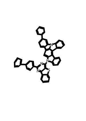 c1ccc(-c2ccc(-c3nc(-n4c5ccccc5c5c6c7ccccc7n7c8cc(-c9ccccc9)ccc8c(cc54)c67)c4sc5ccccc5c4n3)cc2)cc1